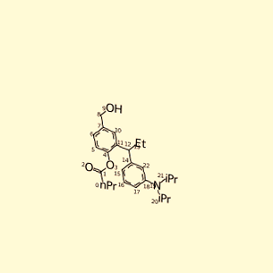 CCCC(=O)Oc1ccc(CO)cc1C(CC)c1cccc(N(C(C)C)C(C)C)c1